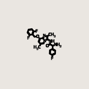 Cc1cc(OCc2c(F)cccc2F)c2nc(C)c(NC(=O)C(N)c3ccc(F)cc3)n2c1